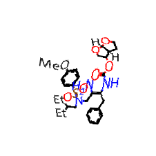 CCC(CC)CN(C[C@@H](N)[C@H](Cc1ccccc1)NC(=O)O[C@H]1CO[C@H]2OCC[C@H]21)S(=O)(=O)c1ccc(OC)cc1